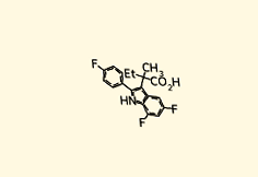 CCC(C)(C(=O)O)c1c(-c2ccc(F)cc2)[nH]c2c(F)cc(F)cc12